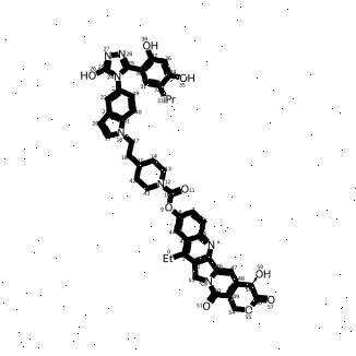 CCc1c2c(nc3ccc(OC(=O)N4CCC(CCn5ccc6cc(-n7c(O)nnc7-c7cc(C(C)C)c(O)cc7O)ccc65)CC4)cc13)-c1cc3c(c(=O)n1C2)COC(=O)[C@H]3O